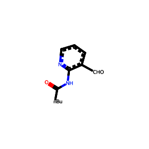 CCCCC(=O)Nc1ncccc1C=O